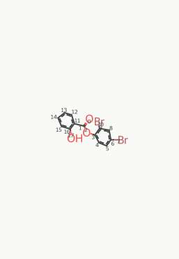 O=C(Oc1ccc(Br)cc1Br)c1ccccc1O